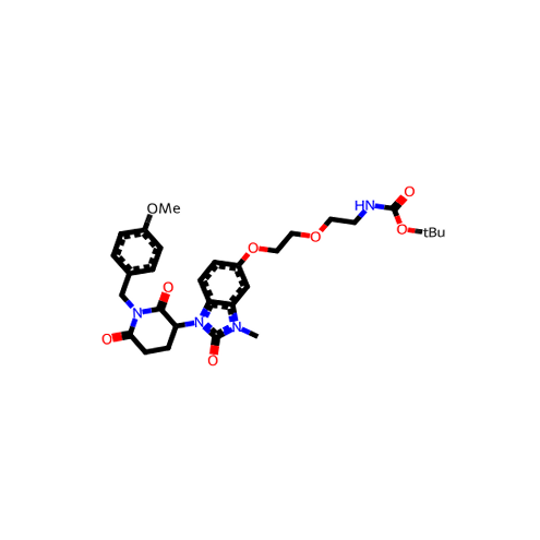 COc1ccc(CN2C(=O)CCC(n3c(=O)n(C)c4cc(OCCOCCNC(=O)OC(C)(C)C)ccc43)C2=O)cc1